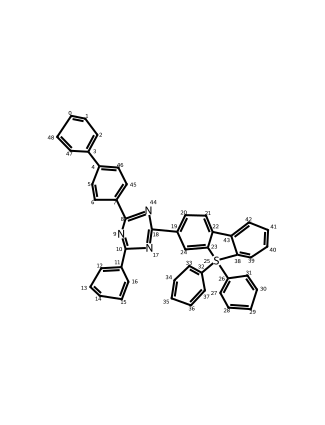 c1ccc(-c2ccc(-c3nc(-c4ccccc4)nc(-c4ccc5c(c4)S(c4ccccc4)(c4ccccc4)c4ccccc4-5)n3)cc2)cc1